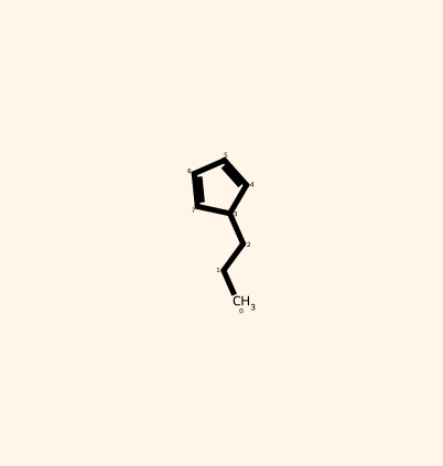 CCC[C]1C=CC=C1